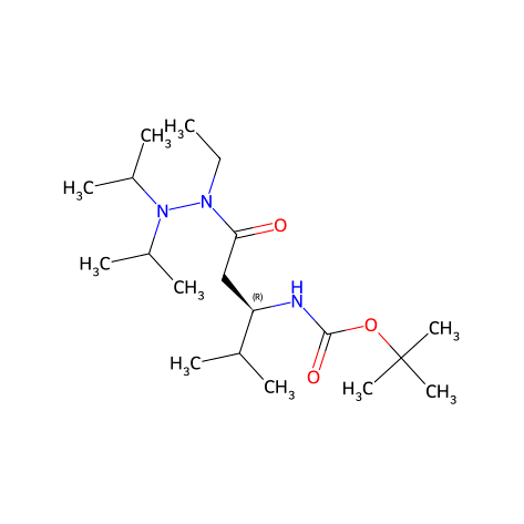 CCN(C(=O)C[C@@H](NC(=O)OC(C)(C)C)C(C)C)N(C(C)C)C(C)C